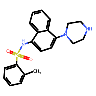 Cc1ccccc1S(=O)(=O)Nc1ccc(N2CCNCC2)c2ccccc12